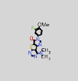 COc1ccc(-n2cnc3c(sc4ncnc(N(C)C)c43)c2=O)cc1F